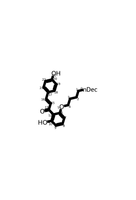 CCCCCCCCCCCCCCOc1cccc(O)c1C(=O)C=Cc1ccc(O)cc1